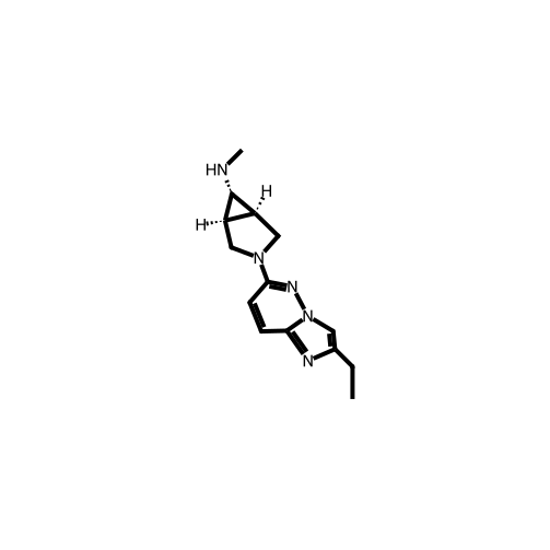 CCc1cn2nc(N3C[C@@H]4[C@H](C3)[C@H]4NC)ccc2n1